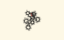 O=c1[nH]c2ccccc2cc1-c1cc2c(C(N3CCCCCC3)N3CCCCCC3)cccc2n1C(N1CCCCCC1)N1CCCCCC1